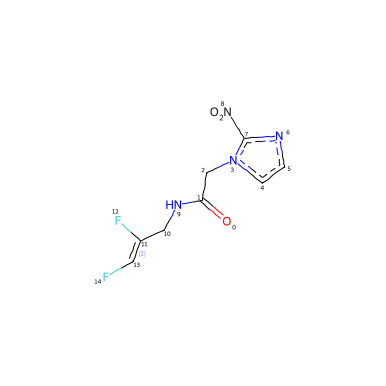 O=C(Cn1ccnc1[N+](=O)[O-])NC/C(F)=C/F